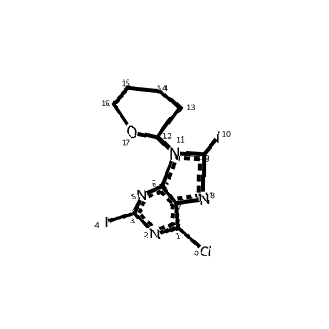 Clc1nc(I)nc2c1nc(I)n2C1CCCCO1